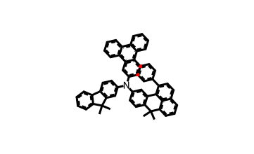 CC1(C)c2ccccc2-c2ccc(N(c3ccc4c(c3)-c3c(-c5ccccc5)ccc5cccc(c35)C4(C)C)c3ccc4c5ccccc5c5ccccc5c4c3)cc21